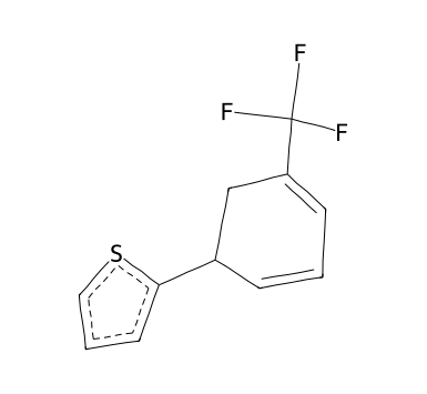 FC(F)(F)C1=CC=CC(c2cccs2)C1